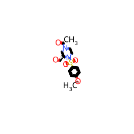 COc1ccc(S(=O)(=O)N2CCN(C(C)=O)C[C@@H]2C=O)cc1